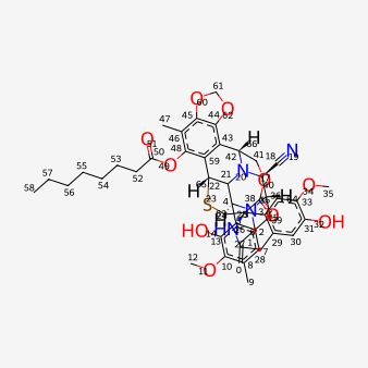 C=CCN1[C@H]2c3c(cc(C)c(OC)c3O)C[C@H]1[C@H](C#N)N1C2[C@@H]2SC[C@]3(NCCc4cc(O)c(OC)cc43)C(=O)OC[C@H]1c1c3c(c(C)c(OC(=O)CCCCCCC)c12)OCO3